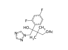 CC(=O)OCC(C)(C)C(O)(Cn1cncn1)c1ccc(F)cc1F